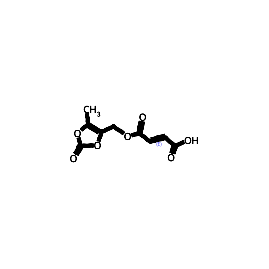 Cc1oc(=O)oc1COC(=O)/C=C/C(=O)O